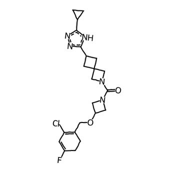 O=C(N1CC(OCC2=C(Cl)C=C(F)CC2)C1)N1CC2(CC(c3nnc(C4CC4)[nH]3)C2)C1